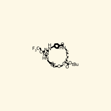 CC(C)(C)OC(=O)N1CCCCCNC(=O)c2ccc(cc2)Nc2nc(nc(OCC(F)(F)F)n2)NCc2ccc(cc2)OCC1